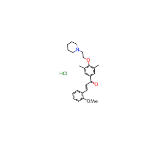 COc1ccccc1/C=C/C(=O)c1cc(C)c(OCCN2CCCCC2)c(C)c1.Cl